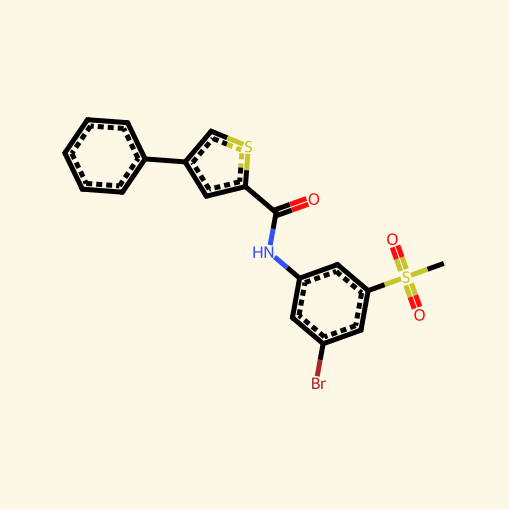 CS(=O)(=O)c1cc(Br)cc(NC(=O)c2cc(-c3ccccc3)cs2)c1